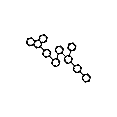 c1ccc(-c2ccc(-c3ccc(-c4ccccc4-c4ccccc4-c4ccc(-c5cc6ccccc6c6ccccc56)cc4)c(-c4ccccc4)c3)cc2)cc1